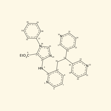 CCOC(=O)c1c(Nc2ncccc2CC(c2cccnc2)c2cccnc2)ncn1-c1ccccc1